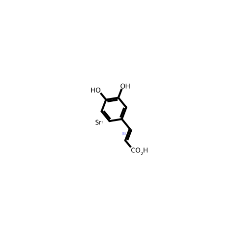 O=C(O)/C=C/c1ccc(O)c(O)c1.[Sr]